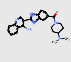 CN(C)C1CCN(C(=O)c2ccc3[nH]c(-c4cnc5ccccc5c4N)nc3c2)CC1